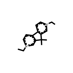 CC[n+]1ccc2c(c1)C(C)(C)c1c[n+](CC)ccc1-2